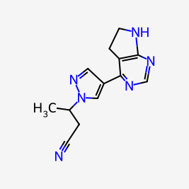 CC(CC#N)n1cc(-c2ncnc3c2CCN3)cn1